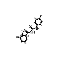 Cc1ccc(NC(=S)Nc2noc3c(F)cccc23)cc1